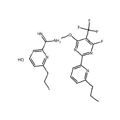 CCCc1cccc(-c2nc(F)c(C(F)(F)F)c(OC)n2)n1.CCCc1cccc(C(=N)N)n1.Cl